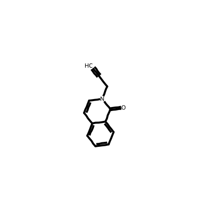 C#CCn1ccc2ccccc2c1=O